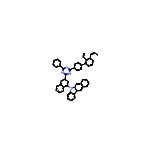 C=Cc1c(/C=C\C)cccc1-c1ccc(-c2nc(-c3ccccc3)nc(-c3cc(N4c5ccccc5C5C=c6ccccc6=CC54)c4ccccc4c3)n2)cc1